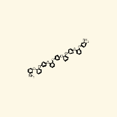 Nc1cccc(Oc2ccccc2Oc2ccc(Oc3ccccc3Oc3ccc(Oc4ccccc4Oc4ccc(Oc5ccccc5Oc5cccc(N)c5)cc4)cc3)cc2)c1